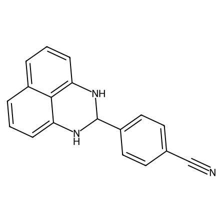 N#Cc1ccc(C2Nc3cccc4cccc(c34)N2)cc1